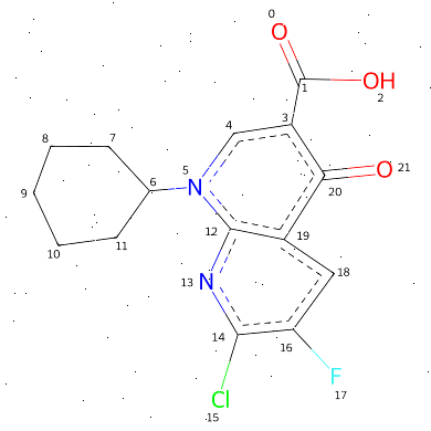 O=C(O)c1cn(C2CCCCC2)c2nc(Cl)c(F)cc2c1=O